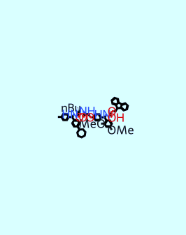 CCCC[C@H](NC(=O)COc1ccc(C(NC(O)OCC2c3ccccc3-c3ccccc32)c2ccc(OC)cc2OC)cc1)C(=O)NC(c1ccc(C)cc1)c1ccc(C2CCCCCC2)cc1